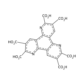 O=C(O)c1cc2c(nc1C(=O)O)c1cc(C(=O)O)c(C(=O)O)nc1c1cc(C(=O)O)c(C(=O)O)nc21